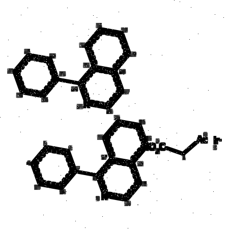 CC(=O)CC(=O)O.[Ir].c1ccc(-c2nccc3ccccc23)cc1.c1ccc(-c2nccc3ccccc23)cc1